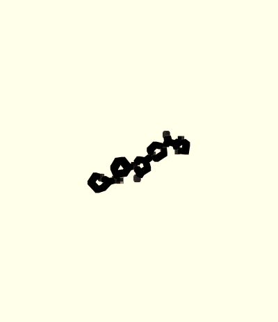 O=C(c1nccs1)N1CCN(C2CC(=O)N(c3cccc(NC4CCCCC4)c3)C2)CC1